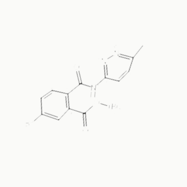 Cc1ccc(NC(=O)c2ccc(Br)cc2C(=O)OC(C)(C)C)nn1